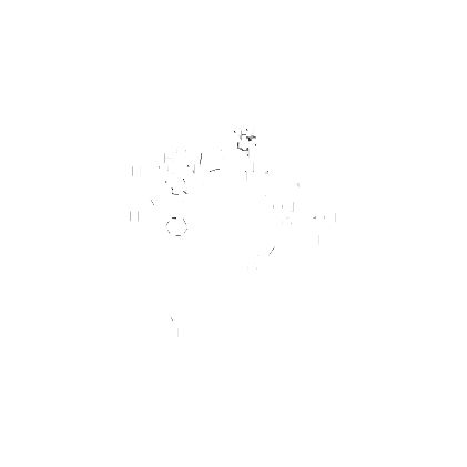 C/C(=C\C(=O)OCCCCCCCCC(=O)O)C[C@@H]1OC[C@H](C[C@@H]2O[C@H]2[C@@H](C)[C@H](C)O)[C@@H](O)[C@H]1O.CO[C@@]1(NC(=O)C(C(=O)O)c2ccc(O)cc2)C(=O)N2C(C(=O)O)=C(CSc3nnnn3C)CO[C@@H]21